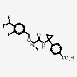 CC(C)[C@@H](OCc1ccc(C(F)F)c(F)c1)C(=O)NC1(c2ccc(C(=O)O)cc2)CC1